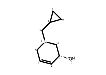 O[C@@H]1C=CCN(CC2CC2)C1